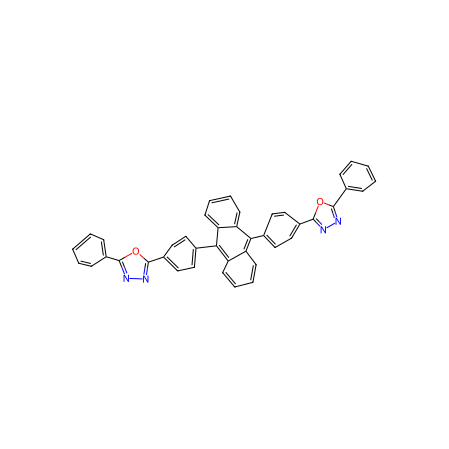 c1ccc(-c2nnc(-c3ccc(-c4c5ccccc5c(-c5ccc(-c6nnc(-c7ccccc7)o6)cc5)c5ccccc45)cc3)o2)cc1